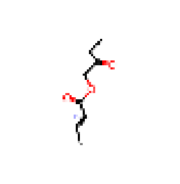 C/C=C/C(=O)OCC(=O)CC